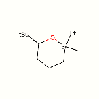 CC[Si]1(C)CCCC(C(C)(C)C)O1